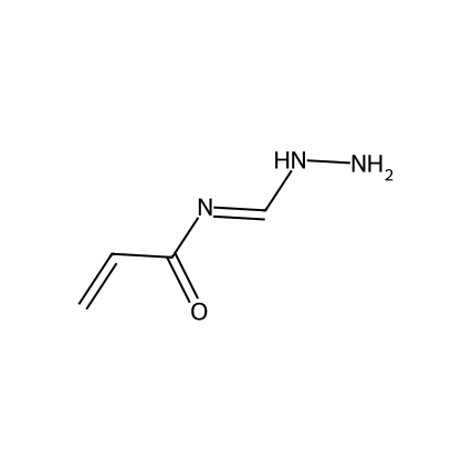 C=CC(=O)N=CNN